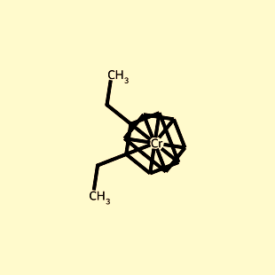 CC[C]12[CH]3[CH]4[CH]5[C]1(CC)[Cr]43521678[CH]2[CH]1[CH]6[CH]7[CH]28